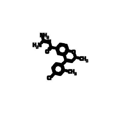 Cc1cc(Cl)ccc1C1=CC(C)Oc2ccc(C(=O)N=C(N)N)cc21